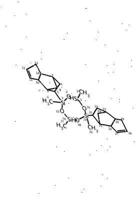 C[SiH]1O[Si](C)(C2CC3CC2C2C=CCC32)O[SiH](C)O[Si](C)(C2CC3CC2C2C=CCC32)O1